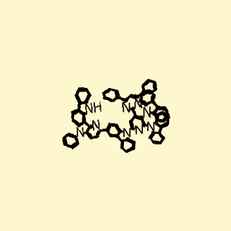 c1ccc(-c2cc(-c3ccccc3)nc(-c3cc(-n4c5ccccc5c5cc(-c6ccc7c(n6)c6c8[nH]c9ccccc9c8ccc6n7-c6ccccc6)ccc54)nc(-n4c5ccccc5c5ccccc54)c3-n3c4ccccc4c4ccccc43)n2)cc1